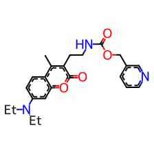 CCN(CC)c1ccc2c(C)c(CCNC(=O)OCc3cccnc3)c(=O)oc2c1